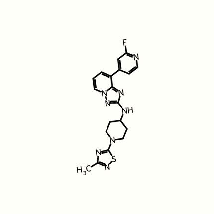 Cc1nsc(N2CCC(Nc3nc4c(-c5ccnc(F)c5)cccn4n3)CC2)n1